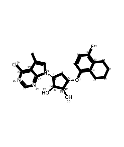 Cc1cn([C@@H]2C[C@H](Oc3ccc(F)c4c3CCCC4)[C@@H](O)[C@H]2O)c2ncnc(Cl)c12